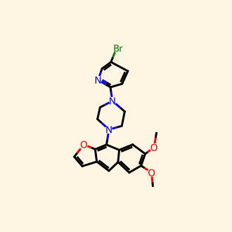 COc1cc2cc3ccoc3c(N3CCN(c4ccc(Br)cn4)CC3)c2cc1OC